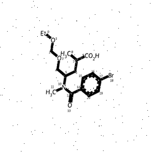 CCOCOCC(CC(C)C(=O)O)N(C)C(=O)c1ccc(Br)cc1